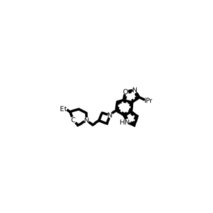 CCC1CCN(CC2CN(c3cc4onc(C(C)C)c4c4cc[nH]c34)C2)CC1